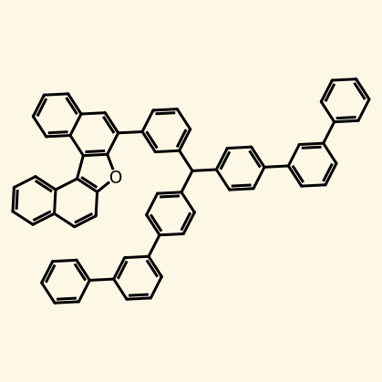 c1ccc(-c2cccc(-c3ccc(C(c4ccc(-c5cccc(-c6ccccc6)c5)cc4)c4cccc(-c5cc6ccccc6c6c5oc5ccc7ccccc7c56)c4)cc3)c2)cc1